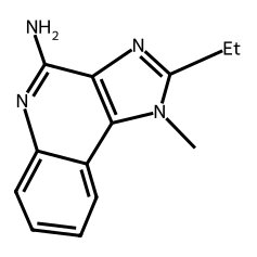 CCc1nc2c(N)nc3ccccc3c2n1C